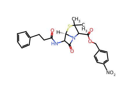 CC1(C)S[C@@H]2C(NC(=O)CCc3ccccc3)C(=O)N2C1C(=O)OCc1ccc([N+](=O)[O-])cc1